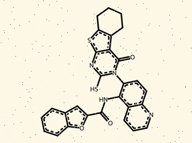 O=C(Nc1c(-n2c(S)nc3sc4c(c3c2=O)CCCC4)ccc2ncccc12)c1cc2ccccc2o1